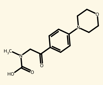 CN(CC(=O)c1ccc(N2CCOCC2)cc1)C(=O)O